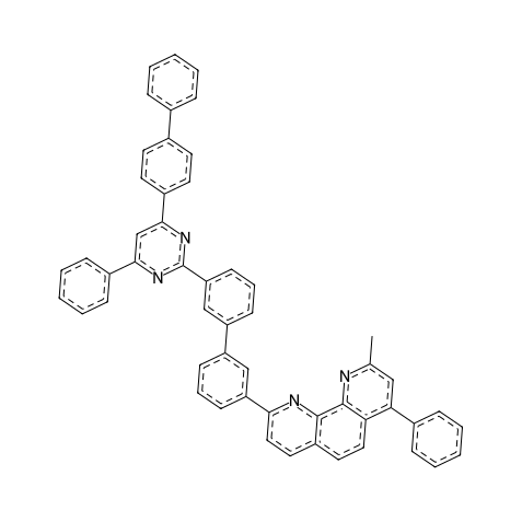 Cc1cc(-c2ccccc2)c2ccc3ccc(-c4cccc(-c5cccc(-c6nc(-c7ccccc7)cc(-c7ccc(-c8ccccc8)cc7)n6)c5)c4)nc3c2n1